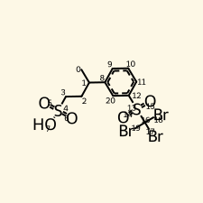 CC(CCS(=O)(=O)O)c1cccc(S(=O)(=O)C(Br)(Br)Br)c1